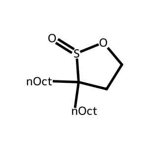 CCCCCCCCC1(CCCCCCCC)CCOS1=O